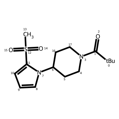 CC(C)(C)C(=O)N1CCC(n2cccc2S(C)(=O)=O)CC1